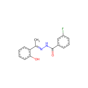 C/C(=N\NC(=O)c1cccc(F)c1)c1ccccc1O